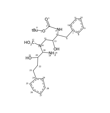 CC(C)(C)OC(=O)NC(Cc1ccccc1)C(O)CN(C(=O)O)C(N)C(O)CCc1ccccc1